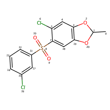 CC1Oc2cc(Cl)c(S(=O)(=O)c3cccc(Cl)c3)cc2O1